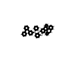 c1ccc(-c2ccccc2-c2cccc(N(c3ccccc3)c3cccc4c3Oc3cc5c(cc3O4)C3(c4ccccc4Cc4ccccc43)c3ccccc3-5)c2)cc1